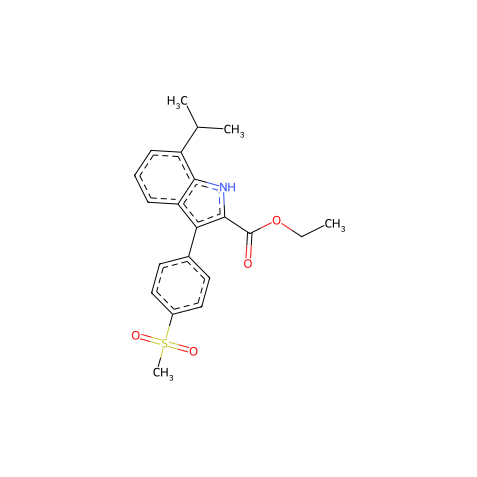 CCOC(=O)c1[nH]c2c(C(C)C)cccc2c1-c1ccc(S(C)(=O)=O)cc1